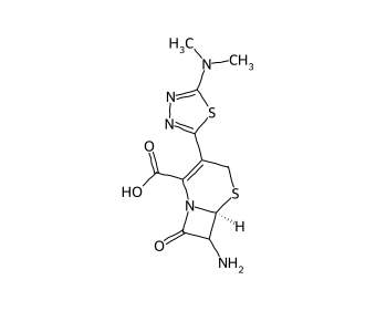 CN(C)c1nnc(C2=C(C(=O)O)N3C(=O)C(N)[C@@H]3SC2)s1